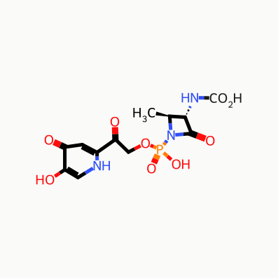 C[C@H]1[C@H](NC(=O)O)C(=O)N1P(=O)(O)OCC(=O)c1cc(=O)c(O)c[nH]1